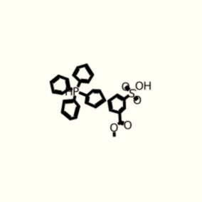 COC(=O)c1cccc(S(=O)(=O)O)c1.c1ccc([PH](c2ccccc2)(c2ccccc2)c2ccccc2)cc1